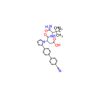 CC(C)(C)C(NC(=O)C(CC(=O)O)n1cccc1-c1ccc(-c2ccc(C#N)cc2)cc1)C(N)=O